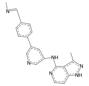 C/N=C/c1ccc(-c2cncc(Nc3nccc4[nH]nc(C)c34)c2)cc1